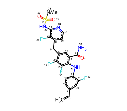 C=Cc1ccc(Nc2c(C(N)=O)cc(Cc3ccnc(NS(=O)(=O)NC)c3F)c(F)c2F)c(F)c1